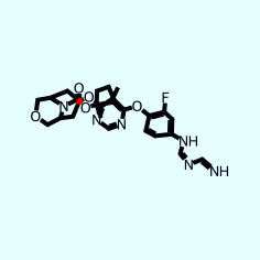 Cc1c(Oc2ccc(N/C=N\C=N)cc2F)ncnc1OC1CC2COCC(C1)N2C(=O)OC1(C)CCC1